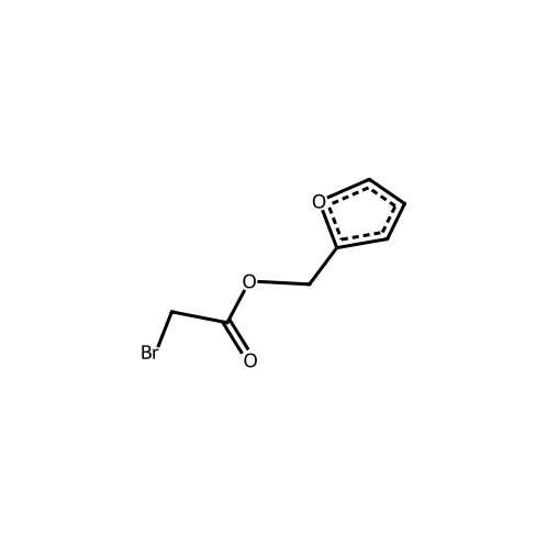 O=C(CBr)OCc1ccco1